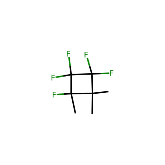 CC1(C)C(C)(F)C(F)(F)C1(F)F